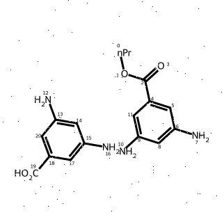 CCCOC(=O)c1cc(N)cc(N)c1.Nc1cc(N)cc(C(=O)O)c1